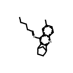 CCCCC=Nc1c2c(nc3ccc(C)cc13)C1CCC2C1